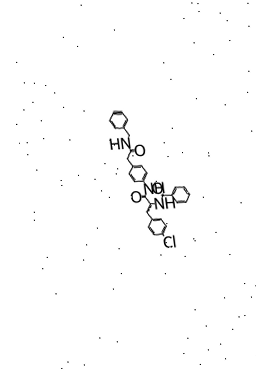 O=C(Cc1ccc(NC(=O)/C(=C/c2ccc(Cl)cc2)NC(=O)c2ccccc2)cc1)NCc1cc#ccc1